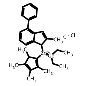 C[CH2][Ge]([CH2]C)=[Zr+2]([C]1=C(C)C(C)=C(C)C1C)[CH]1C(C)=Cc2c(-c3ccccc3)cccc21.[Cl-].[Cl-]